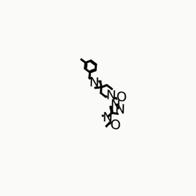 CC(=O)N(C)c1cnn(C(=O)N2CCC3(CC2)CN(Cc2cccc(C)c2)C3)c1